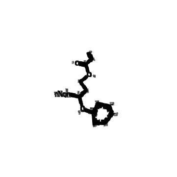 C=CC(=O)OCCC(CCCCCCCCC)Oc1ccccc1